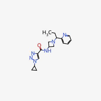 CCC(c1ccccn1)N1CC(NC(=O)c2cn(C3CC3)nn2)C1